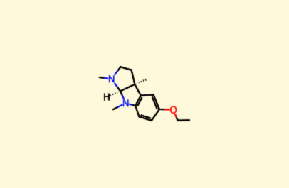 CCOc1ccc2c(c1)[C@]1(C)CCN(C)[C@@H]1N2C